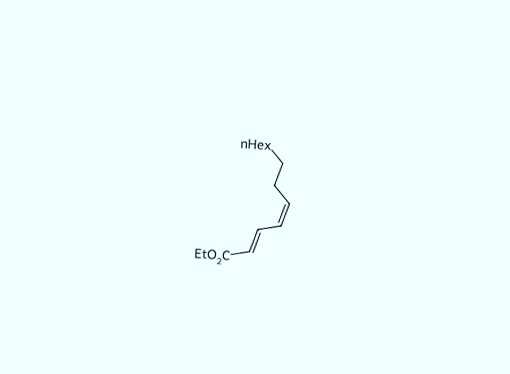 CCCCCCCC/C=C\C=C\C(=O)OCC